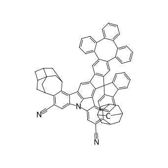 N#Cc1cc2c(c3c1C1CC4CC5CC3CC45C1)c1cc3c(c4c5c6c(c(C#N)cc5n2c14)C1CC2CC(C1)CC6C2)C1(c2ccccc2-c2ccccc21)c1cc2c(cc1-3)-c1ccccc1-c1ccccc1-c1ccccc1-2